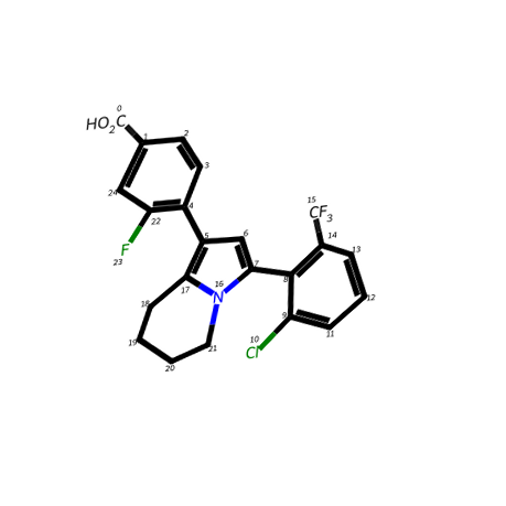 O=C(O)c1ccc(-c2cc(-c3c(Cl)cccc3C(F)(F)F)n3c2CCCC3)c(F)c1